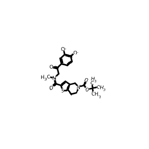 CN(CC(=O)c1ccc([O])c([O])c1)C(=O)c1cc2c(s1)CCN(C(=O)OC(C)(C)C)C2